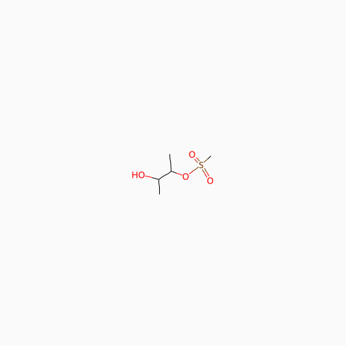 CC(O)C(C)OS(C)(=O)=O